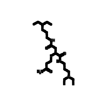 CCN(CC)CCCNC(=O)CC(SCCC(N)=O)C(=O)NCCCN(CC)CC